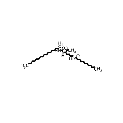 CCCCCCCCCCCCCCCCC(C)NC(=O)NC(CCCCNC(=O)CCCCCCCCCCC)C(C)=O